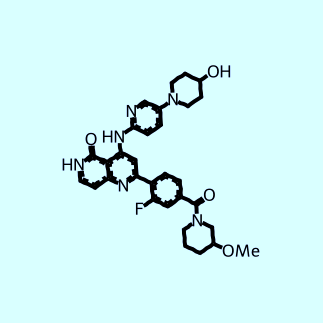 COC1CCCN(C(=O)c2ccc(-c3cc(Nc4ccc(N5CCC(O)CC5)cn4)c4c(=O)[nH]ccc4n3)c(F)c2)C1